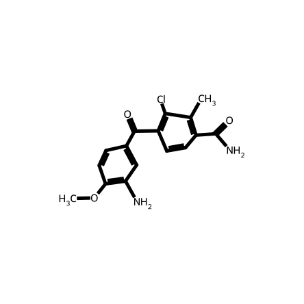 COc1ccc(C(=O)c2ccc(C(N)=O)c(C)c2Cl)cc1N